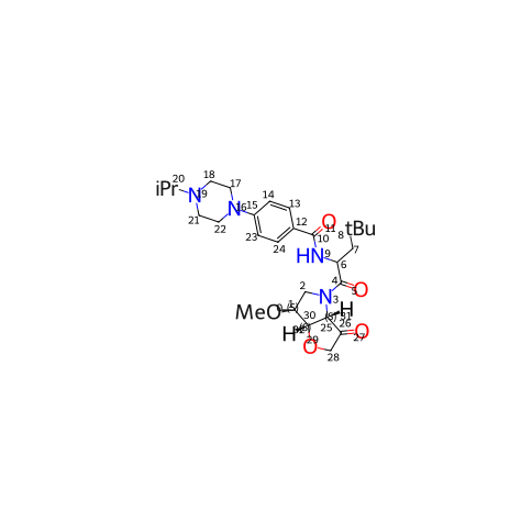 CO[C@H]1CN(C(=O)C(CC(C)(C)C)NC(=O)c2ccc(N3CCN(C(C)C)CC3)cc2)[C@@H]2C(=O)CO[C@H]12